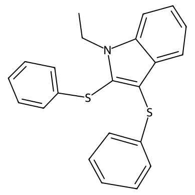 CCn1c(Sc2ccccc2)c(Sc2ccccc2)c2ccccc21